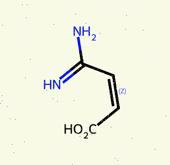 N=C(N)/C=C\C(=O)O